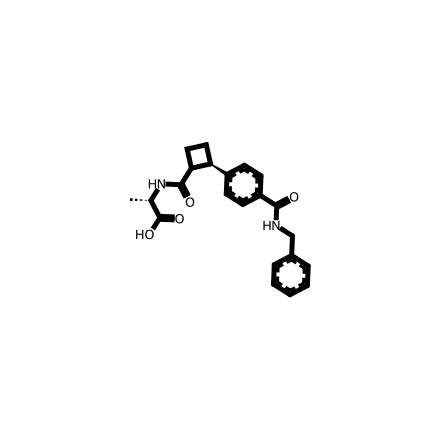 C[C@H](NC(=O)C1CC[C@H]1c1ccc(C(=O)NCc2ccccc2)cc1)C(=O)O